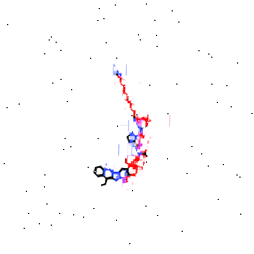 CCc1c2c(nc3ccccc13)-c1cc3c(c(=O)n1C2)COC(=O)C3(CC)OC(=O)[C@@H](NC(=O)[C@@H]1CCCN1C(=O)[C@H](CC(=O)O)NC(=O)CCOCCOCCOCCN)C(C)C